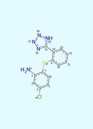 Nc1cc(Cl)ccc1Sc1ccccc1-c1nnn[nH]1